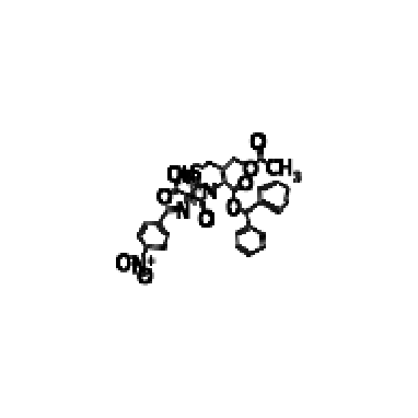 CC(=O)OCC1=C(C(=O)OC(c2ccccc2)c2ccccc2)N2C(=O)[C@@](N=Cc3ccc([N+](=O)[O-])cc3)(C(=O)O)[C@H]2SC1